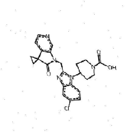 O=C(O)N1CCC(n2c(CN3C(=O)C4(CC4)c4ccncc43)nc3cc(Cl)ccc32)CC1